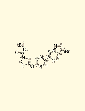 CC(C)(C)OC(=O)N1CC[C@H](Oc2ccc(-c3cnc4c(Br)cnn4c3)nc2)C1